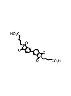 O=C(O)CCCCN1C(=O)c2ccc(-c3ccc4c(c3)C(=O)N(CCCCC(=O)O)C4=O)cc2C1=O